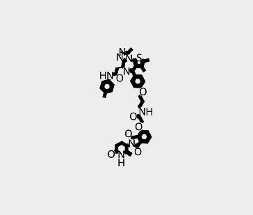 C=C1NC(=O)CCC1N1C(=O)c2cccc(OCC(=O)NCCCOc3ccc(C4=N[C@@H](CC(=O)Nc5ccc(C)cc5)c5nnc(C)n5-c5sc(C)c(C)c54)cc3)c2C1=O